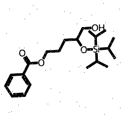 CC(C)[Si](OC(CO)CCCOC(=O)c1ccccc1)(C(C)C)C(C)C